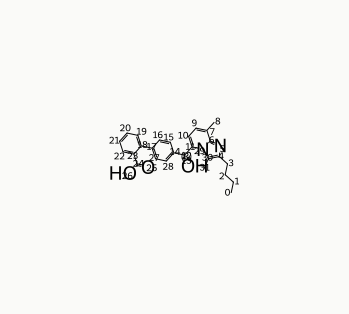 CCCCc1nc2c(C)ccc([C@H](O)c3ccc(-c4ccccc4C(=O)O)cc3)n2c1C